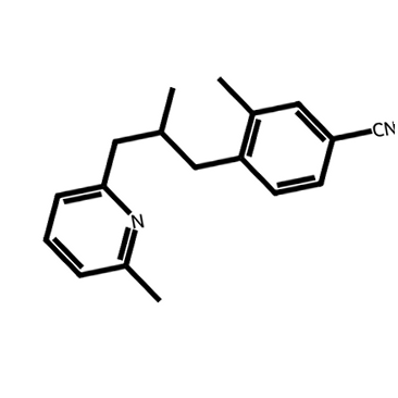 Cc1cccc(CC(C)Cc2ccc(C#N)cc2C)n1